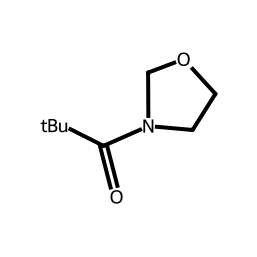 CC(C)(C)C(=O)N1CCOC1